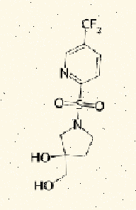 O=S(=O)(c1ccc(C(F)(F)F)cn1)N1CC[C@](O)(CO)C1